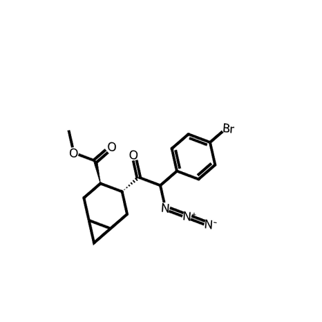 COC(=O)[C@@H]1CC2CC2C[C@H]1C(=O)C(N=[N+]=[N-])c1ccc(Br)cc1